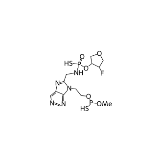 COP(S)OCCn1c(CNP(=O)(S)OC2COCC2F)nc2cncnc21